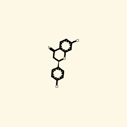 S=C1C[C@H](c2ccc(Cl)cc2)Oc2cc(Cl)ccc21